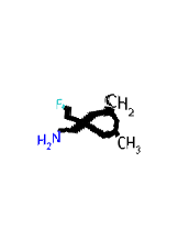 C=C1CC(C)CC(CCN)(CCF)C1